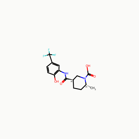 C[C@@H]1CC[C@@H](C(=O)Nc2cc(C(F)(F)F)ccc2O)CN1C(=O)O